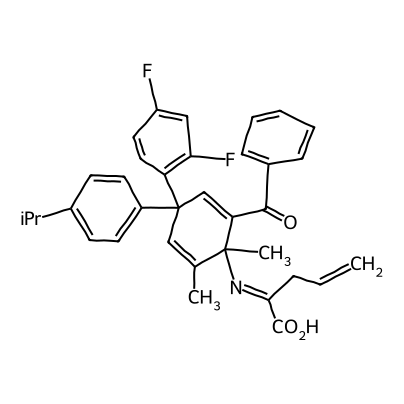 C=CCC(=NC1(C)C(C)=CC(c2ccc(C(C)C)cc2)(c2ccc(F)cc2F)C=C1C(=O)c1ccccc1)C(=O)O